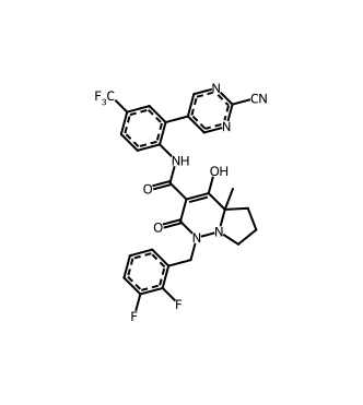 CC12CCCN1N(Cc1cccc(F)c1F)C(=O)C(C(=O)Nc1ccc(C(F)(F)F)cc1-c1cnc(C#N)nc1)=C2O